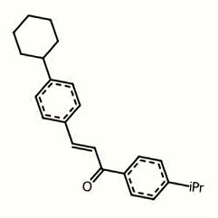 CC(C)c1ccc(C(=O)/C=C/c2ccc(C3CCCCC3)cc2)cc1